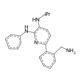 CC(C)Nc1ccc(-c2ccccc2CN)nc1Nc1ccccc1